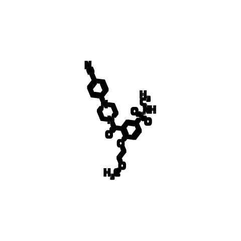 CNS(=O)(=O)c1ccc(OCCOC)c(C(=O)N2CCN(c3ccc(C#N)cc3)CC2)c1